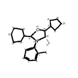 Cc1ccccc1N1C(C2CCCCC2)OC(C2CCCC2)[C@@H]1C